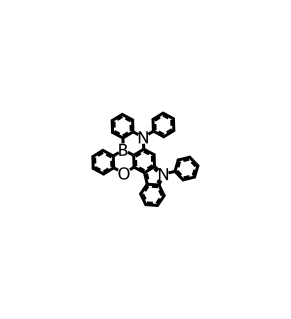 c1ccc(N2c3ccccc3B3c4ccccc4Oc4c3c2cc2c4c3ccccc3n2-c2ccccc2)cc1